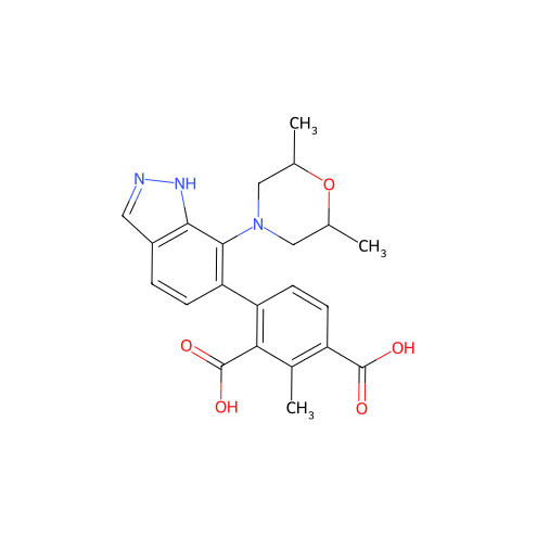 Cc1c(C(=O)O)ccc(-c2ccc3cn[nH]c3c2N2CC(C)OC(C)C2)c1C(=O)O